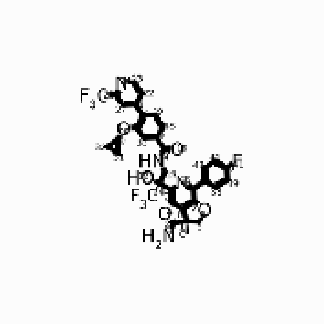 C[C@]1(C(N)=O)COc2c1cc([C@@](O)(CNC(=O)c1ccc(-c3ccnc(C(F)(F)F)c3)c(OC3CC3)c1)C(F)(F)F)nc2-c1ccc(F)cc1